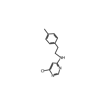 Cc1ccc(CCNc2cc(Cl)ncn2)cc1